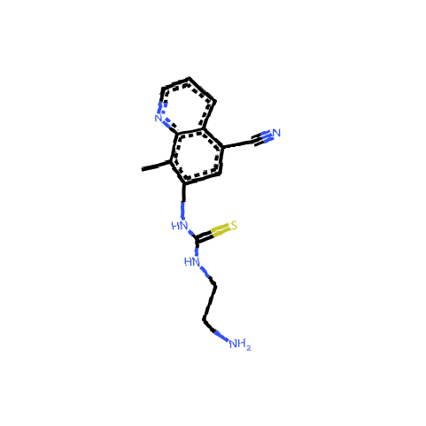 Cc1c(NC(=S)NCCN)cc(C#N)c2cccnc12